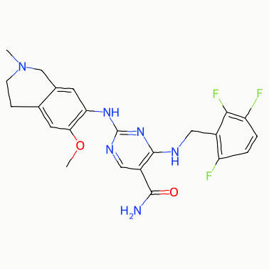 COc1cc2c(cc1Nc1ncc(C(N)=O)c(NCc3c(F)ccc(F)c3F)n1)CN(C)CC2